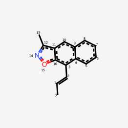 C/C=C/c1c2ccccc2cc2c(C)noc12